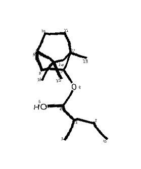 CCC(C)C(O)OC1CC2CCC1(C)C2(C)C